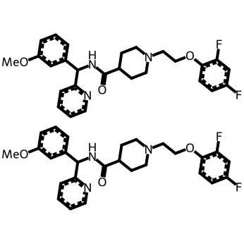 COc1cccc(C(NC(=O)C2CCN(CCOc3ccc(F)cc3F)CC2)c2ccccn2)c1.COc1cccc(C(NC(=O)C2CCN(CCOc3ccc(F)cc3F)CC2)c2ccccn2)c1